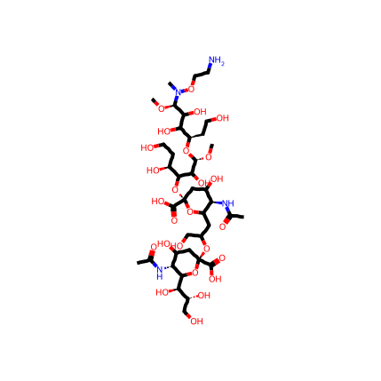 CO[C@@H](O[C@H](CCO)C(O)C(O)[C@@H](OC)N(C)OCCN)C(O)C(O[C@]1(C(=O)O)CC(O)[C@@H](NC(C)=O)C(CC(CO)O[C@]2(C(=O)O)CC(O)[C@@H](NC(C)=O)C([C@H](O)[C@H](O)CO)O2)O1)[C@@H](O)CCO